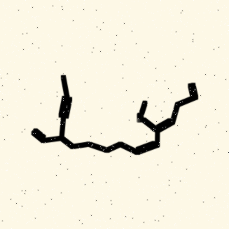 C=CC/C=C(/C=C\CCCCC(C#CC)C=C)SC